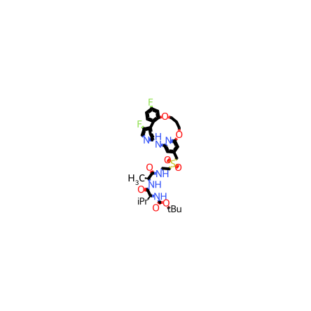 CC(C)[C@H](NC(=O)OC(C)(C)C)C(=O)N[C@@H](C)C(=O)NCCS(=O)(=O)Cc1cc2nc(c1)OCCCOc1cc(F)ccc1-c1cc(ncc1F)N2